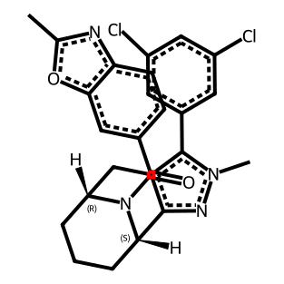 Cc1nc2ccc(C(=O)N3[C@@H]4CCC[C@H]3c3nn(C)c(-c5cc(Cl)cc(Cl)c5)c3C4)cc2o1